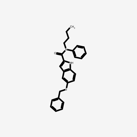 CCCCN(C(=O)c1cc2cc(SCc3ccccc3)ccc2[nH]1)c1ccccc1